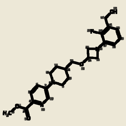 COC(=O)c1ccc(N2CCC(COC3CN(c4cccc(CO)c4F)C3)CC2)cn1